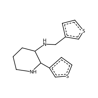 c1cc(CNC2CCCNC2c2ccsc2)cs1